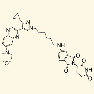 O=C1CCC(N2C(=O)c3ccc(NCCCCCCn4cc(-c5cnc6ccc(N7CCOCC7)cc6n5)c(C5CC5)n4)cc3C2=O)C(=O)N1